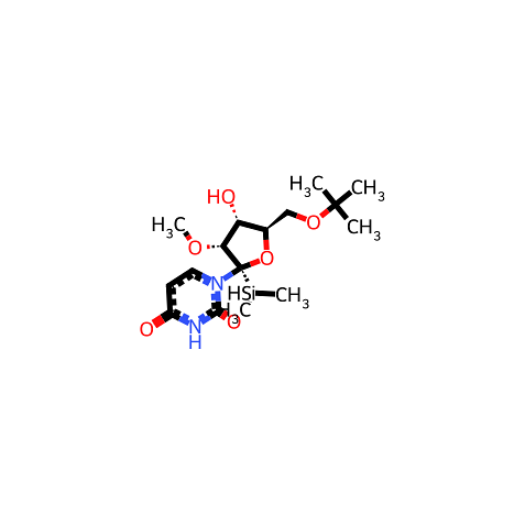 CO[C@@H]1[C@H](O)[C@@H](COC(C)(C)C)O[C@]1(n1ccc(=O)[nH]c1=O)[SiH](C)C